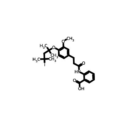 COc1cc(CCC(=O)Nc2ccccc2C(=O)O)ccc1OC(C)(C)CC(C)(C)I